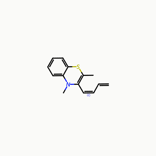 C=C/C=C\C1=C(C)Sc2ccccc2N1C